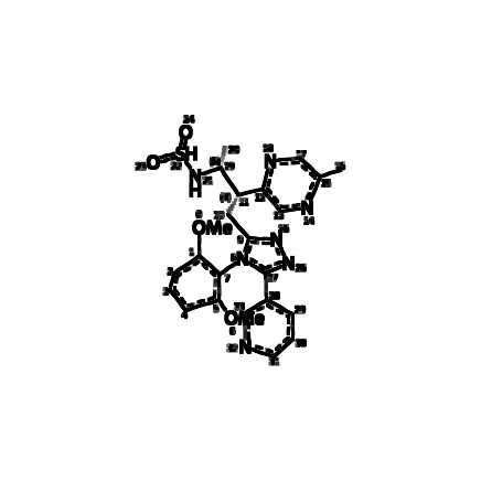 COc1cccc(OC)c1-n1c(C[C@@H](c2cnc(C)cn2)[C@@H](C)N[SH](=O)=O)nnc1-c1cccnc1